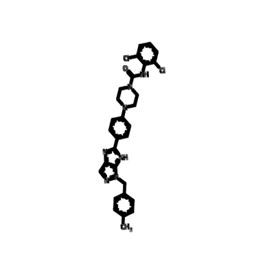 Cc1ccc(Cn2ncc3nc(-c4ccc(N5CCN(C(=O)Nc6c(Cl)cccc6Cl)CC5)cc4)[nH]c32)cc1